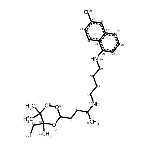 CC(CCC1OOC(C)(C)C(C)(CI)O1)NCCCCNc1ccnc2cc(Cl)ccc12